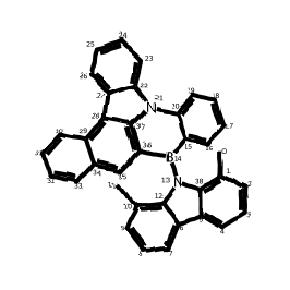 Cc1cccc2c3cccc(C)c3n(B3c4ccccc4-n4c5ccccc5c5c6ccccc6cc3c54)c12